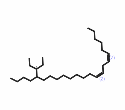 CCCCC/C=C\C/C=C\CCCCCCCCC(CCCC)[C](CC)CC